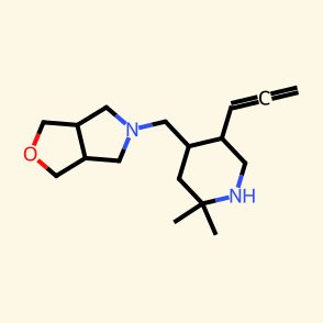 C=C=CC1CNC(C)(C)CC1CN1CC2COCC2C1